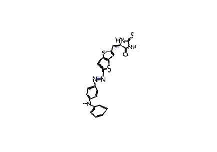 CN(c1ccccc1)c1ccc(/N=N/c2cc3sc(/C=C4/NC(=S)NC4=O)cc3s2)cc1